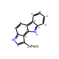 CCCCCC1=CN=c2ccc3c(c21)N=c1ccccc1=3